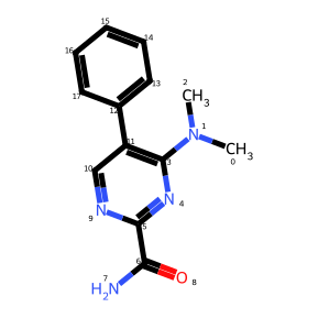 CN(C)c1nc(C(N)=O)ncc1-c1ccccc1